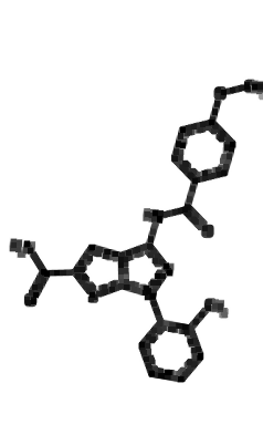 COc1ccc(C(=O)Nc2nn(-c3ccccc3C)c3sc(C(N)=O)cc23)cc1